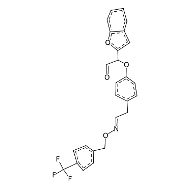 O=CC(Oc1ccc(CC=NOCc2ccc(C(F)(F)F)cc2)cc1)c1cc2ccccc2o1